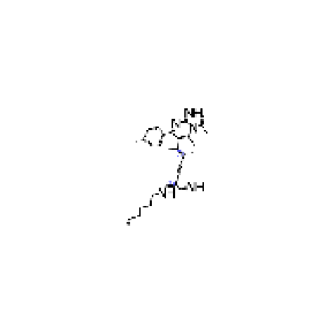 C=CCCCCN/C=C(/C#C/C(C)=C(\C)c1c(-c2ccc(C)cc2)nc(=N)n(C(=C)C)c1C)C=N